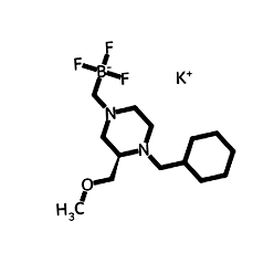 COC[C@H]1CN(C[B-](F)(F)F)CCN1CC1CCCCC1.[K+]